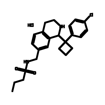 CCCS(=O)(=O)NCc1ccc2c(c1)C(C1(c3ccc(Cl)cc3)CCC1)NCC2.Cl